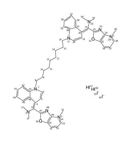 CN(C)C(=C1C=CN(CCCCCCCCCN2C=CC(=C(c3nc4c(ccc[n+]4C)o3)N(C)C)c3ccccc32)c2ccccc21)c1nc2c(ccc[n+]2C)o1.I.I.[I-].[I-]